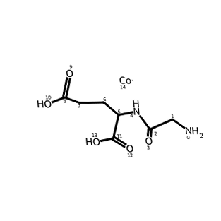 NCC(=O)NC(CCC(=O)O)C(=O)O.[Co]